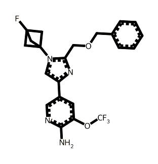 Nc1ncc(-c2cn(C34CC(F)(C3)C4)c(COCc3ccccc3)n2)cc1OC(F)(F)F